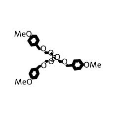 COc1ccc(COCOB(OCOCc2ccc(OC)cc2)OCOCc2ccc(OC)cc2)cc1